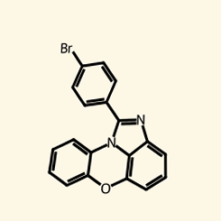 Brc1ccc(-c2nc3cccc4c3n2-c2ccccc2O4)cc1